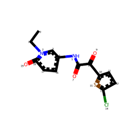 CCn1cc(NC(=O)C(=O)c2ccc(Cl)s2)ccc1=O